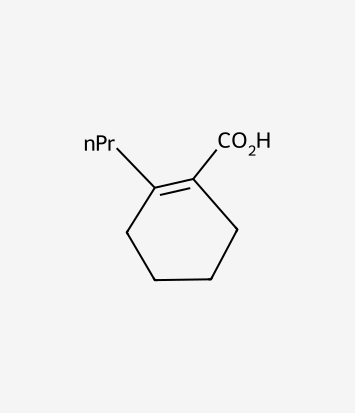 CCCC1=C(C(=O)O)CCCC1